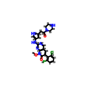 COn1c(=O)c(-c2c(F)cccc2Cl)cc2cnc(Nc3c[nH]c(CC(=O)N4CCNCC4)c3)nc21